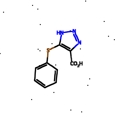 O=C(O)c1nn[nH]c1Sc1ccccc1